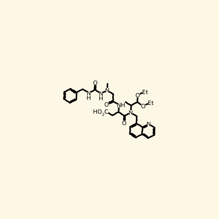 CCOC(OCC)C(C)N(Cc1cccc2cccnc12)C(=O)C(CC(=O)O)NC(=O)CN(C)NC(=O)NCc1ccccc1